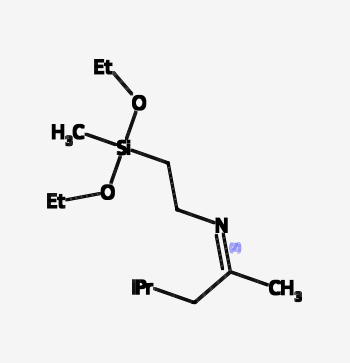 CCO[Si](C)(CC/N=C(/C)CC(C)C)OCC